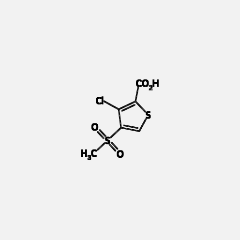 CS(=O)(=O)c1csc(C(=O)O)c1Cl